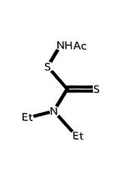 CCN(CC)C(=S)SNC(C)=O